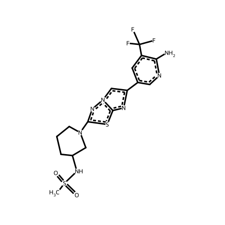 CS(=O)(=O)NC1CCCN(c2nn3cc(-c4cnc(N)c(C(F)(F)F)c4)nc3s2)C1